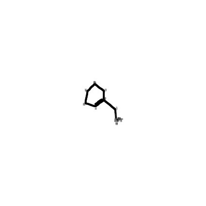 [CH2]CCCC1=CCCCC1